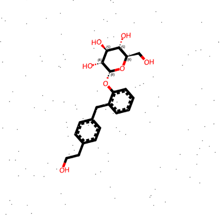 OCCc1ccc(Cc2ccccc2O[C@H]2O[C@H](CO)[C@@H](O)[C@H](O)[C@H]2O)cc1